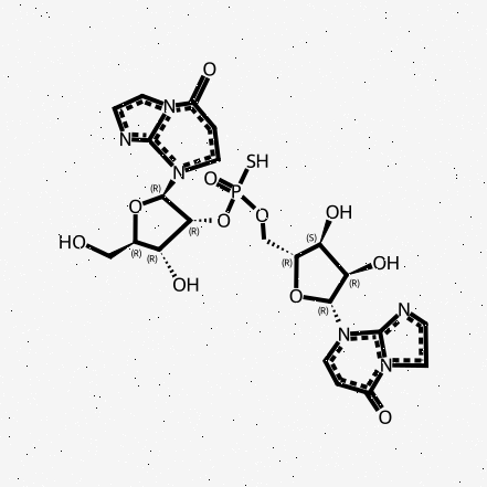 O=c1ccn([C@@H]2O[C@H](COP(=O)(S)O[C@@H]3[C@H](O)[C@@H](CO)O[C@H]3n3ccc(=O)n4ccnc34)[C@@H](O)[C@H]2O)c2nccn12